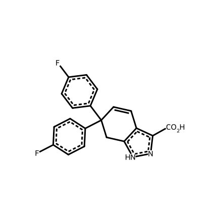 O=C(O)c1n[nH]c2c1C=CC(c1ccc(F)cc1)(c1ccc(F)cc1)C2